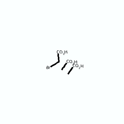 CC(=O)O.CC(=O)O.O=C(O)CBr